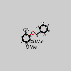 COc1ccc(C#N)c(OCc2ccccc2)c1OC